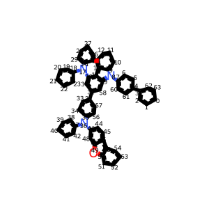 c1ccc(-c2ccc(-n3c4ccccc4c4c(N(c5ccccc5)c5ccccc5)cc(-c5ccc(N(c6ccccc6)c6ccc7c(c6)oc6ccccc67)cc5)cc43)cc2)cc1